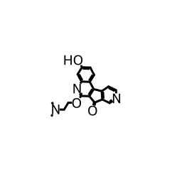 CN(C)CCOc1nc2cc(O)ccc2c2c1C(=O)c1cnccc1-2